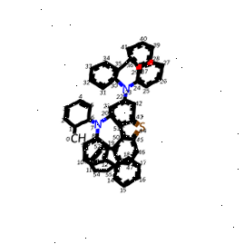 CC1C=CC=CC1N(c1cccc(-c2ccccc2)c1)c1cc(N(c2ccccc2)c2ccccc2-c2ccccc2)cc2sc3ccc4c(c3c12)C=CCC4